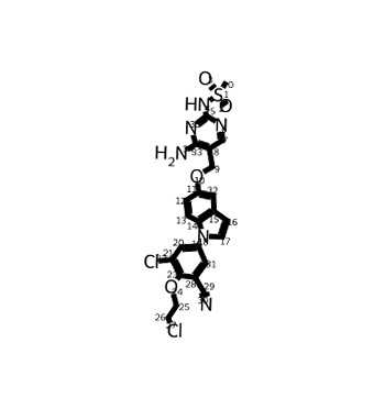 CS(=O)(=O)Nc1ncc(COc2ccc3c(ccn3-c3cc(Cl)c(OCCCl)c(C#N)c3)c2)c(N)n1